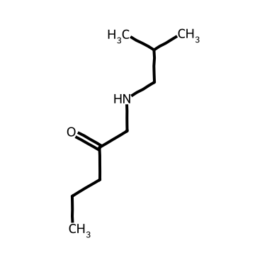 CCCC(=O)CNCC(C)C